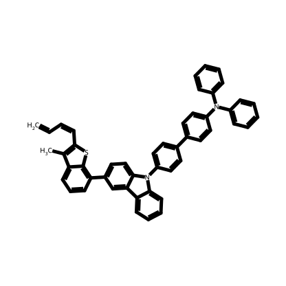 C=C/C=C\c1sc2c(-c3ccc4c(c3)c3ccccc3n4-c3ccc(-c4ccc(N(c5ccccc5)c5ccccc5)cc4)cc3)cccc2c1C